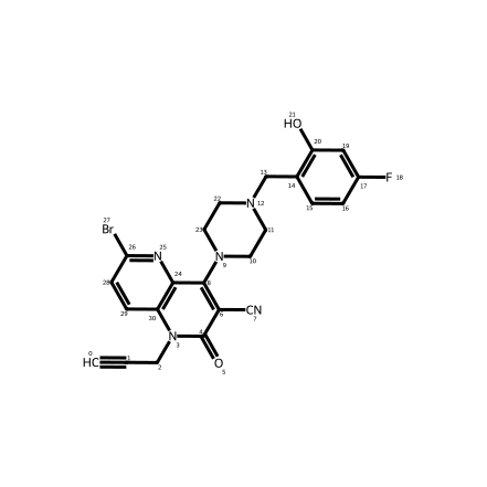 C#CCn1c(=O)c(C#N)c(N2CCN(Cc3ccc(F)cc3O)CC2)c2nc(Br)ccc21